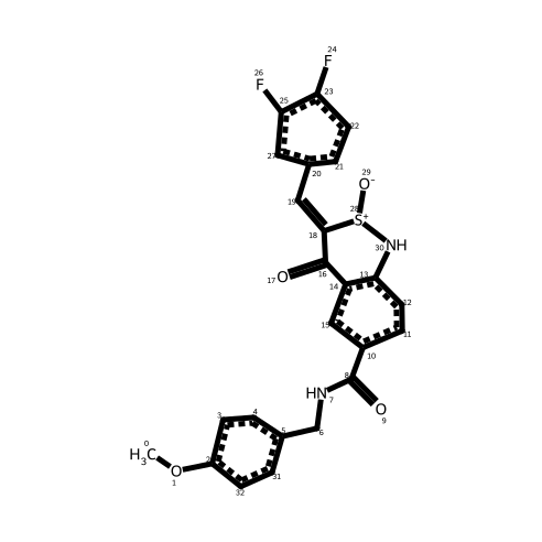 COc1ccc(CNC(=O)c2ccc3c(c2)C(=O)/C(=C/c2ccc(F)c(F)c2)[S+]([O-])N3)cc1